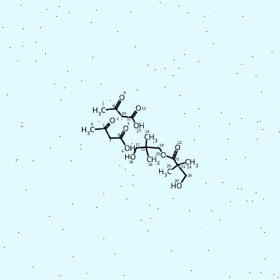 CC(=O)CC(=O)O.CC(=O)CC(=O)O.CC(C)(CO)COC(=O)C(C)(C)CO